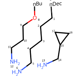 CCCCCCCCCCCCCCCN.CCCCOCCCN.NCC1CC1